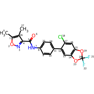 Cc1onc(C(=O)Nc2ccc(-c3cc4c(cc3Cl)OC(F)(F)O4)cc2)c1C